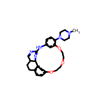 CN1CCN(c2ccc3cc2OCCOCCOc2ccc4c(c2)C2N=C(N=CC2CC4)N3)CC1